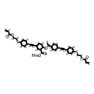 C=CC(=O)OCCSc1ccc(C#Cc2ccc(C(C)Oc3ccc(C#Cc4ccc(SCCOC(=O)C=C)cc4)cc3C(=O)OC)cc2)cc1